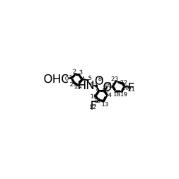 O=Cc1ccc(CNC(=O)c2cc(F)ccc2Oc2ccc(F)cc2)cc1